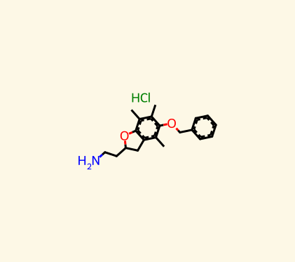 Cc1c(C)c2c(c(C)c1OCc1ccccc1)CC(CCN)O2.Cl